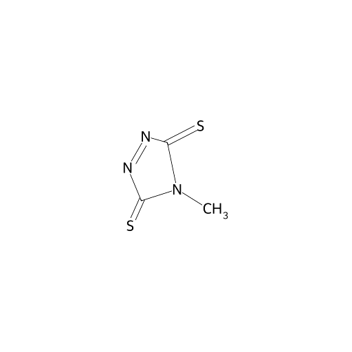 CN1C(=S)N=NC1=S